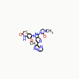 COc1cc2c(cc1-n1nc(N3CCN(C)C3=O)c3cnc(-c4cnn5cccnc45)cc31)SCC(=O)N2